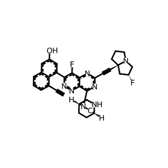 C#Cc1cccc2cc(O)cc(-c3nnc4c(N5C[C@H]6CC[C@@H]5CN6)nc(C#C[C@@]56CCCN5C[C@H](F)C6)nc4c3F)c12